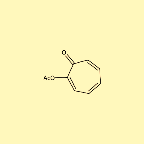 CC(=O)Oc1cccccc1=O